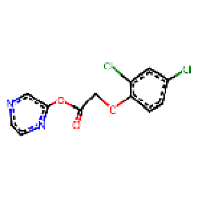 O=C(COc1ccc(Cl)cc1Cl)Oc1cnccn1